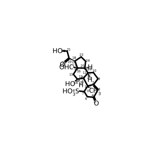 C[C@@]12C(=CC(=O)CC1S(=O)(=O)O)CC[C@@H]1[C@@H]2[C@@H](O)C[C@]2(C=O)[C@@H](C(=O)CO)CC[C@@H]12